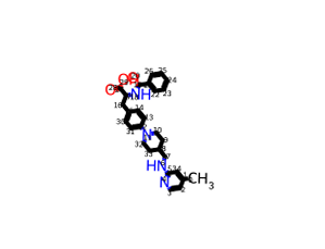 Cc1ccnc(NCC2CCN(c3ccc(CC(NC(=O)c4ccccc4)C(=O)O)cc3)CC2)c1